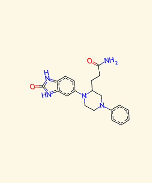 NC(=O)CCC1CN(c2ccccc2)CCN1c1ccc2[nH]c(=O)[nH]c2c1